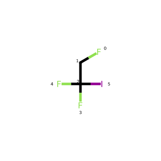 FCC(F)(F)I